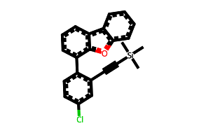 C[Si](C)(C)C#Cc1cc(Cl)ccc1-c1cccc2c1oc1ccccc12